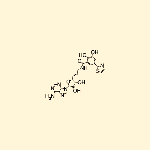 Nc1ncnc2c1ncn2C1OC(C=CCNC(=O)c2cc(-c3nccs3)cc(O)c2O)C(O)[C@H]1O